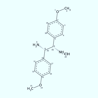 COc1ccc([C@H](N)[C@@H](N)c2ccc(OC)cc2)cc1.Cl